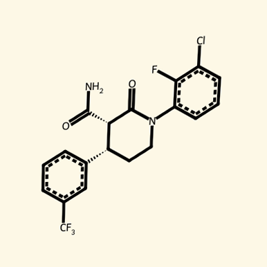 NC(=O)[C@@H]1C(=O)N(c2cccc(Cl)c2F)CC[C@@H]1c1cccc(C(F)(F)F)c1